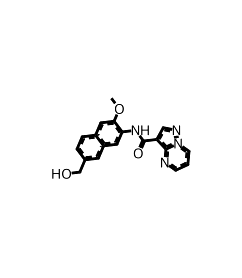 COc1cc2ccc(CO)cc2cc1NC(=O)c1cnn2cccnc12